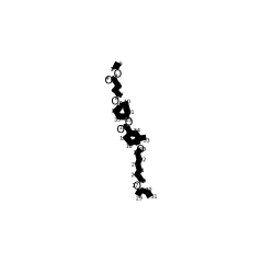 C=COC(=O)CCCOc1ccc(OC(=O)c2ccc(OCCCCCCOC(=C)C=C)c(C)c2)cc1